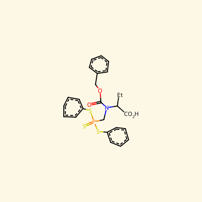 CCC(C(=O)O)N(CP(=S)(Sc1ccccc1)Sc1ccccc1)C(=O)OCc1ccccc1